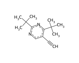 C#Cc1cnc(C(C)(C)C)nc1C(C)(C)C